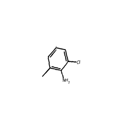 Cc1c[c]cc(Cl)c1N